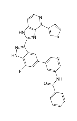 O=C(Nc1cncc(-c2cc(F)c3[nH]nc(-c4nc5c(-c6ccsc6)nccc5[nH]4)c3c2)c1)c1ccccc1